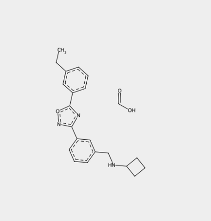 CCc1cccc(-c2nc(-c3cccc(CNC4CCC4)c3)no2)c1.O=CO